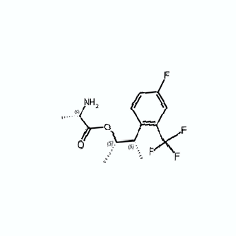 C[C@H](N)C(=O)O[C@@H](C)[C@@H](C)c1ccc(F)cc1C(F)(F)F